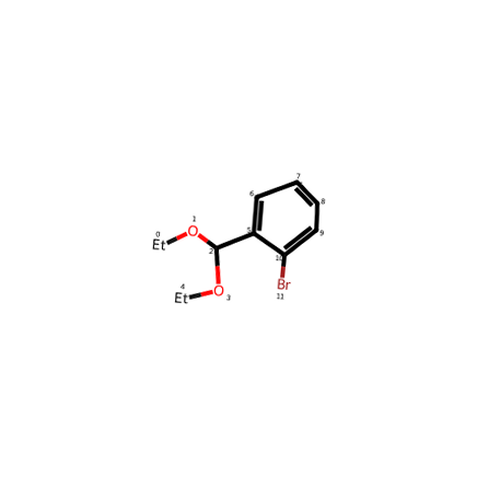 CCOC(OCC)c1c[c]ccc1Br